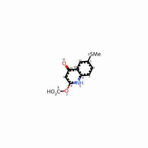 CSc1ccc2[nH]c(OC(=O)O)cc(=O)c2c1